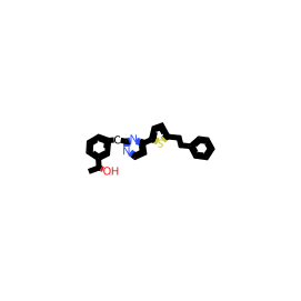 CC(O)c1cccc(Cc2nccc(-c3ccc(CCc4ccccc4)s3)n2)c1